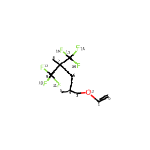 C=COCC(C)CC(C)(C(F)(F)F)C(F)(F)F